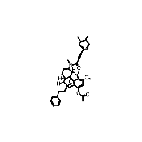 COc1cc(OC(C)=O)c2c3c1O[C@H]1[C@H](N(C)C(=O)C#Cc4ccc(C)c(C)c4)CC[C@H]4[C@@H](C2)N(CCc2ccccc2)CC[C@@]341